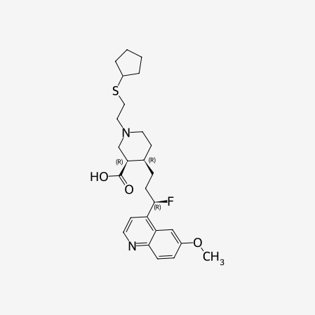 COc1ccc2nccc([C@H](F)CC[C@@H]3CCN(CCSC4CCCC4)C[C@@H]3C(=O)O)c2c1